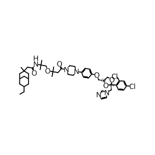 CCC1CC2CC(C1)CC(C)(CC(=O)NC(C)(C)COC(C)(C)CC(=O)N1CCN(c3ccc(OC[C@H]4CO[C@](Cn5ccnc5)(c5ccc(Cl)cc5Cl)O4)cc3)CC1)C2